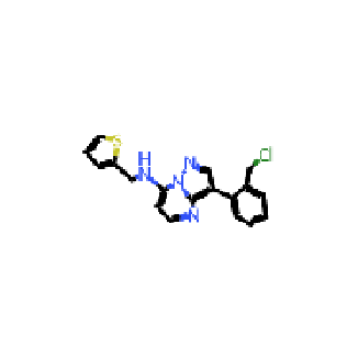 ClCc1ccccc1-c1cnn2c(NCc3cccs3)ccnc12